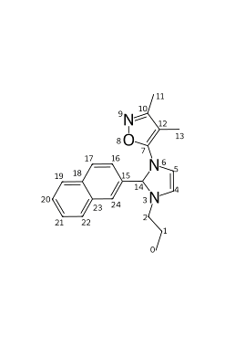 CCCN1C=CN(c2onc(C)c2C)C1c1ccc2ccccc2c1